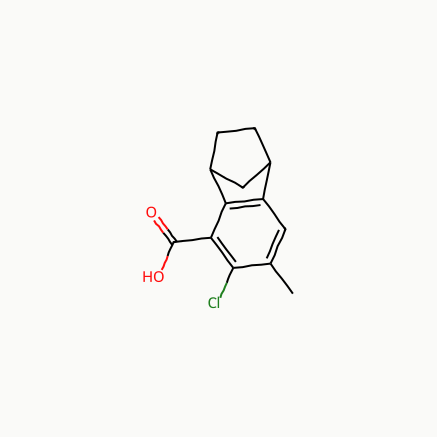 Cc1cc2c(c(C(=O)O)c1Cl)C1CCC2C1